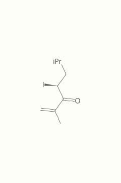 C=C(C)C(=O)[C@@H](I)CC(C)C